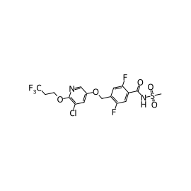 CS(=O)(=O)NC(=O)c1cc(F)c(COc2cnc(OCCC(F)(F)F)c(Cl)c2)cc1F